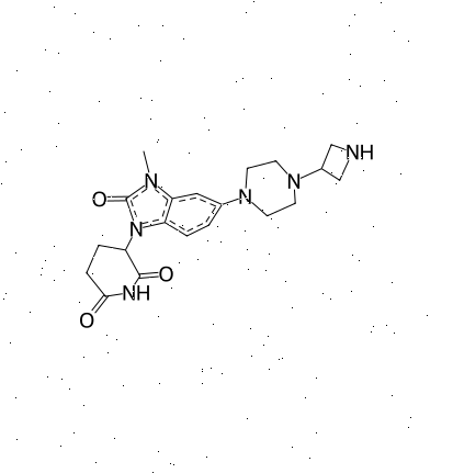 Cn1c(=O)n(C2CCC(=O)NC2=O)c2ccc(N3CCN(C4CNC4)CC3)cc21